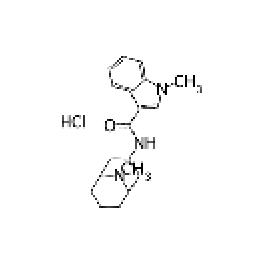 CN1C2CCCC1CC(NC(=O)c1cn(C)c3ccccc13)C2.Cl